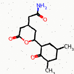 CC1CC(C)C(=O)C(C2CC(CC(N)=O)CC(=O)O2)C1